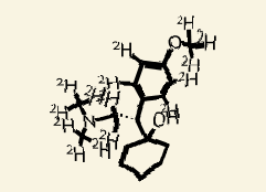 [2H]c1c([2H])c([C@H](C2(O)CCCCC2)C([2H])([2H])N(C([2H])([2H])[2H])C([2H])([2H])[2H])c([2H])c([2H])c1OC([2H])([2H])[2H]